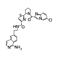 Nc1nccc2cc(CCNC(=O)c3csc(C4CCCN4C(=O)c4cn5cc(Cl)ccc5n4)n3)ccc12